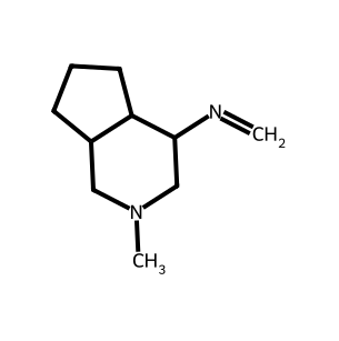 C=NC1CN(C)CC2CCCC21